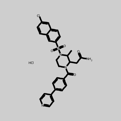 CC1C(CC(N)=O)N(C(=O)c2ccc(-c3ccncc3)cc2)CCN1S(=O)(=O)c1ccc2cc(Cl)ccc2c1.Cl